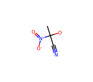 CC([O])(C#N)[N+](=O)[O-]